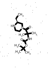 CC[C@H]1CN(C(=O)C(C)(C)NC(=O)OC(C)(C)C)CCN1